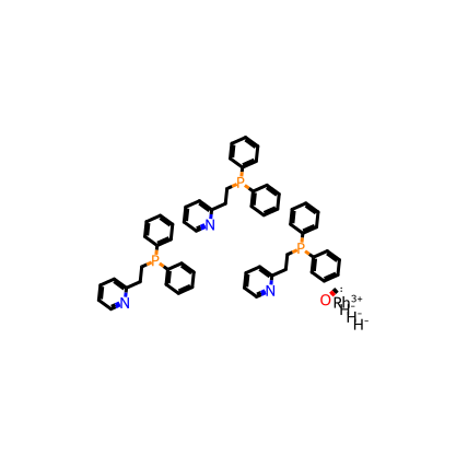 [C]=O.[H-].[H-].[H-].[Rh+3].c1ccc(P(CCc2ccccn2)c2ccccc2)cc1.c1ccc(P(CCc2ccccn2)c2ccccc2)cc1.c1ccc(P(CCc2ccccn2)c2ccccc2)cc1